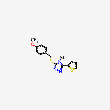 CCn1c(SCc2ccc(OC(F)(F)F)cc2)nnc1-c1cccs1